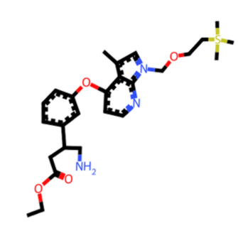 CCOC(=O)CC(CN)c1cccc(Oc2ccnc3c2c(C)cn3COCCS(C)(C)C)c1